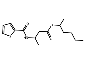 CCCCC(C)OC(=O)CC(C)NC(=O)c1cccs1